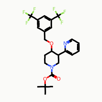 CC(C)(C)OC(=O)N1CCC(OCc2cc(C(F)(F)F)cc(C(F)(F)F)c2)C(c2ccccn2)C1